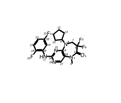 CN1C(=O)C(F)(F)CN(C2CCCC2)c2nc(Nc3cc(F)ccc3F)ncc21